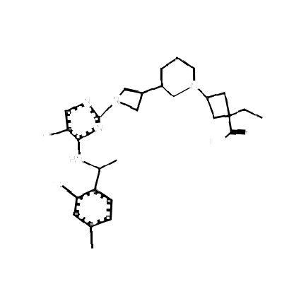 CCC1(C(=O)O)CC(N2CCCC(C3CN(c4ncc(Cl)c(NC(C)c5ccc(C)cc5Cl)n4)C3)C2)C1